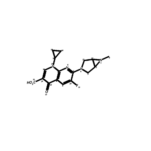 CN1C2CN(c3nc4c(cc3F)c(=O)c(C(=O)O)cn4C3CC3)CC21